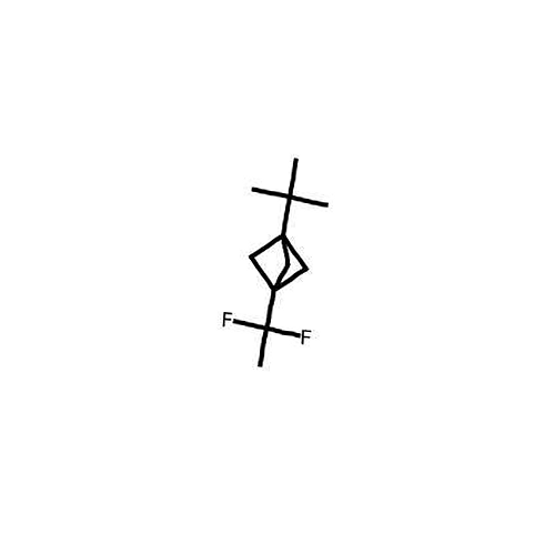 CC(C)(C)C12CC(C(C)(F)F)(C1)C2